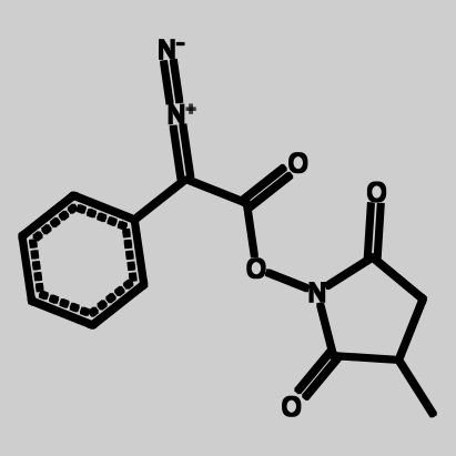 CC1CC(=O)N(OC(=O)C(=[N+]=[N-])c2ccccc2)C1=O